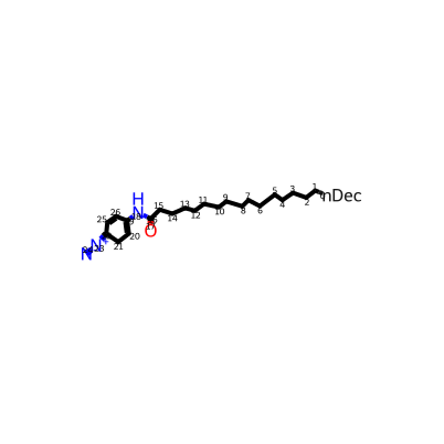 CCCCCCCCCCCCCCCCCCCCCCCCCC(=O)NC1=CCC(=[N+]=[N-])C=C1